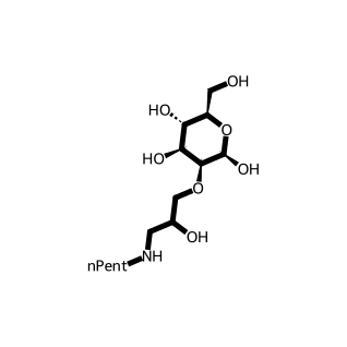 CCCCCNCC(O)CO[C@H]1[C@@H](O)[C@H](O)[C@@H](CO)O[C@H]1O